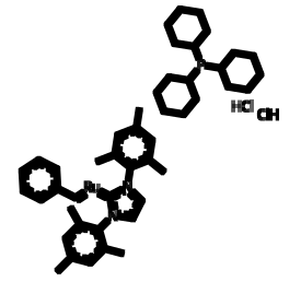 C1CCC(P(C2CCCCC2)C2CCCCC2)CC1.Cc1cc(C)c(-n2ccn(-c3c(C)cc(C)cc3C)[c]2=[Ru]=[CH]c2ccccc2)c(C)c1.Cl.Cl